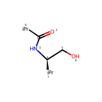 CC(C)C(=O)N[C@@H](CO)C(C)C